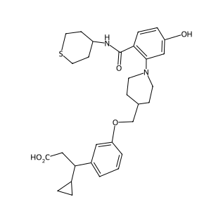 O=C(O)CC(c1cccc(OCC2CCN(c3cc(O)ccc3C(=O)NC3CCSCC3)CC2)c1)C1CC1